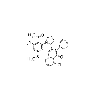 CSc1nc(N)c(C(C)=O)c(N2CCCC2c2cc3cccc(Cl)c3c(=O)n2-c2ccccc2)n1